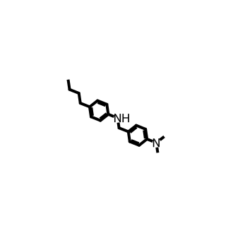 CCCCc1ccc(NCc2ccc(N(C)C)cc2)cc1